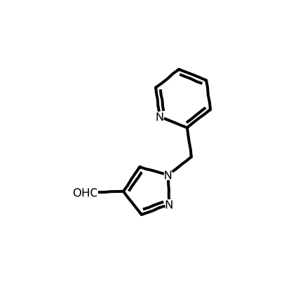 O=Cc1cnn(Cc2ccccn2)c1